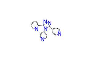 c1ccc(-c2nnc(-c3ccncc3)n2-c2ccncc2)nc1